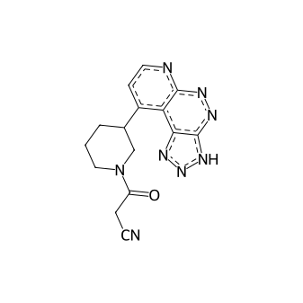 N#CCC(=O)N1CCCC(c2ccnc3nnc4[nH]nnc4c23)C1